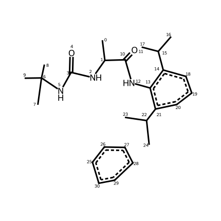 CC(NC(=O)NC(C)(C)C)C(=O)Nc1c(C(C)C)cccc1C(C)C.c1ccccc1